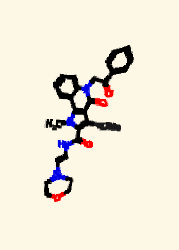 COc1c(C(=O)NCCN2CCOCC2)n(C)c2c1c(=O)n(CC(=O)c1ccccc1)c1ccccc21